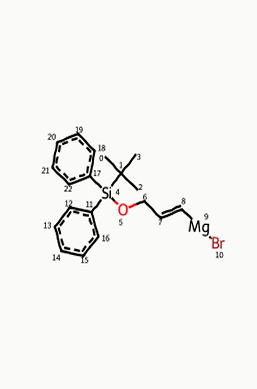 CC(C)(C)[Si](OCC=[CH][Mg][Br])(c1ccccc1)c1ccccc1